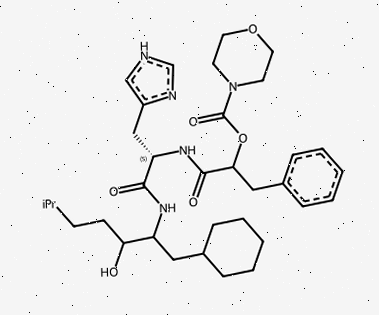 CC(C)CCC(O)C(CC1CCCCC1)NC(=O)[C@H](Cc1c[nH]cn1)NC(=O)C(Cc1ccccc1)OC(=O)N1CCOCC1